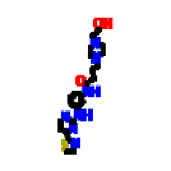 O=C(CCCN1CCN(CCO)CC1)Nc1cccc(Nc2nccc(-c3nccs3)n2)c1